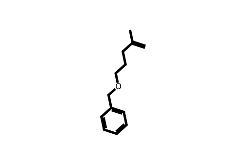 C=C(C)CCCOCc1ccccc1